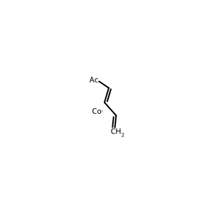 C=CC=CC(C)=O.[Co]